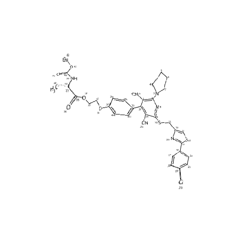 [C-]#[N+]c1c(N2CCCC2)nc(SCc2csc(-c3ccc(Cl)cc3)n2)c(C#N)c1-c1ccc(OCCOC(=O)[C@H](C)NC(=O)OC(C)(C)C)cc1